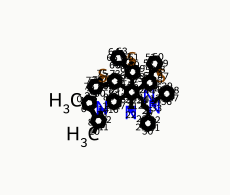 Cc1ccc2c(c1)c1cc(C)ccc1n2-c1ccc(-c2c(C#N)c(-c3cc(-c4ccccc4)nc(-c4ccccc4)n3)c(-c3ccc4sc5ccccc5c4c3)c(-c3ccc4sc5ccccc5c4c3)c2-c2ccc3sc4ccccc4c3c2)cc1